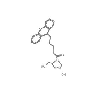 O=C(CCCCc1c2ccccc2nc2ccccc12)N1C[C@H](O)C[C@H]1CO